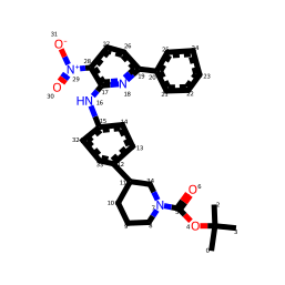 CC(C)(C)OC(=O)N1CCCC(c2ccc(Nc3nc(-c4ccccc4)ccc3[N+](=O)[O-])cc2)C1